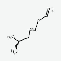 C=COC=CCC(C)C